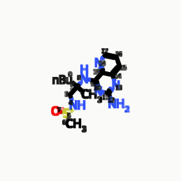 CCCCC(C)(CN[S+](C)[O-])Nc1nc(N)nc2cccnc12